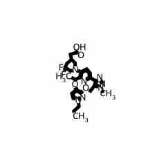 CCCn1ccc(=O)c(OCc2c(-c3ccc(N4CC(CC(=O)O)CC(F)(F)C4)c(CC)n3)nnn2C)n1